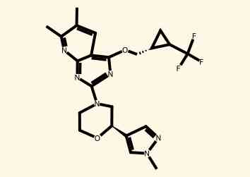 Cc1cc2c(OC[C@@H]3CC3C(F)(F)F)nc(N3CCO[C@H](c4cnn(C)c4)C3)nc2nc1C